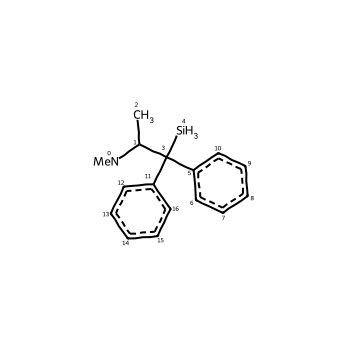 CNC(C)C([SiH3])(c1ccccc1)c1ccccc1